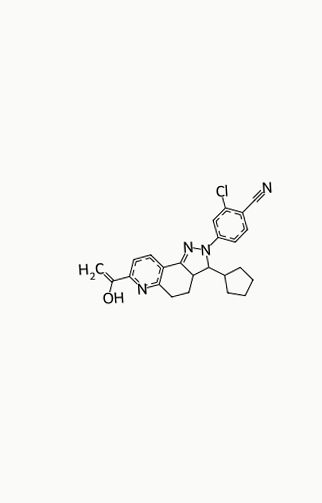 C=C(O)c1ccc2c(n1)CCC1C2=NN(c2ccc(C#N)c(Cl)c2)C1C1CCCC1